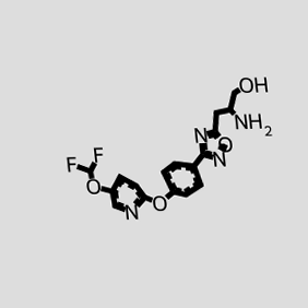 NC(CO)Cc1nc(-c2ccc(Oc3ccc(OC(F)F)cn3)cc2)no1